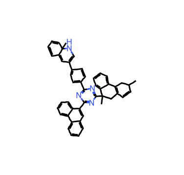 CC1C=CC2=C(C1)c1ccccc1C(C)(c1nc(-c3ccc(C4=CNC5(C)C=CC=CC5=C4)cc3)nc(-c3cc4ccccc4c4ccccc34)n1)C2